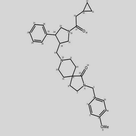 COc1ccc(CN2CCC3(CCN(CC4CN(C(=O)CC5CC5)CC4c4ccccc4)CC3)C2=O)cc1